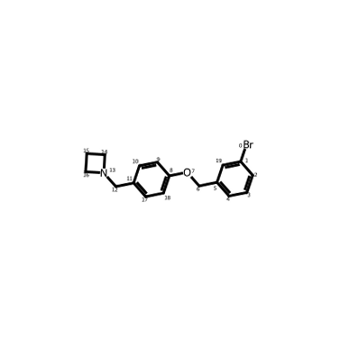 Brc1cccc(COc2ccc(CN3CCC3)cc2)c1